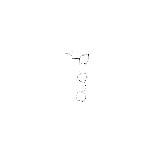 ON=C(Cl)Cc1ccccc1Sc1ccc(Cc2ccccc2)cc1